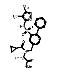 CNC(=O)[C@H](C(C)C)N(Cc1ccc(-c2ccccc2)c(S(=O)(=O)Nc2onc(C)c2C)c1)C(=O)C1CC1